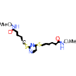 CONC(=O)CCCCCSc1ccnc(SCCCCCC(=O)NOC)n1